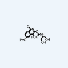 CC(C)Oc1ccc2c(Cl)nc(OC(=O)NC(CO)CO)c(O)c2c1